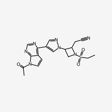 CCS(=O)(=O)N1CC(n2cc(-c3ncnc4c3ccn4C(C)=O)cn2)C1CC#N